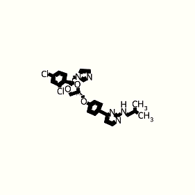 CC(C)CNc1nccc(-c2ccc(OC[C@@H]3CO[C@@](Cn4ccnc4)(c4ccc(Cl)cc4Cl)O3)cc2)n1